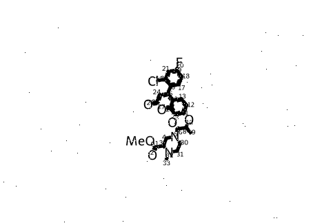 COC(=O)C1CN(C(=O)C(C)Oc2ccc3c(-c4ccc(F)cc4Cl)cc(=O)oc3c2)CCN1C